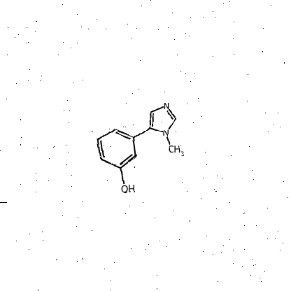 Cn1cncc1-c1cccc(O)c1